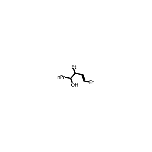 CC/C=C/C(CC)C(O)CCC